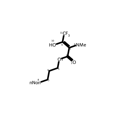 [CH2-][NH2+]/C(C(=O)OCCCCCCCCCCCC)=C(/O)C(F)(F)F